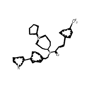 O=C(C=Cc1ccc(C(F)(F)F)cc1)N(Cc1ccc(-c2cccnc2)cc1)C1CCN(C2CCCC2)CC1